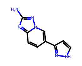 Nc1nc2ccc(-c3cc[nH]n3)cn2n1